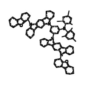 Cc1cc(C)c(B(c2cc(-n3c4ccccc4c4cc5c(cc43)c3ccccc3n5-c3cccc4c3oc3ccccc34)cc(-n3c4ccccc4c4cc5c(cc43)c3ccccc3n5-c3cccc4c3oc3ccccc34)c2)c2c(C)cc(C)cc2C)c(C)c1